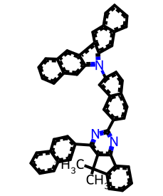 CC1(C)c2ccccc2-c2nc(-c3ccc4ccc(-n5c6cc7ccccc7cc6c6cc7ccccc7cc65)cc4c3)nc(-c3ccc4ccccc4c3)c21